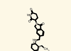 CC[C@H]1CCCC[C@H]1NCc1ccc2c(c1)CN(C1CCC(=O)NC1=O)C2=O